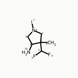 CC1(C(F)F)CN(I)CC1N